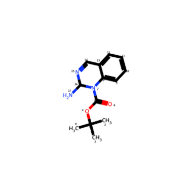 CC(C)(C)OC(=O)N1c2ccccc2C=NC1N